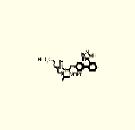 CCCN1C=C(C)N2C=C(SCC(=O)O)NN2C1Cc1ccc(-c2ccccc2-c2nnn[nH]2)cc1